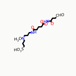 CN(CCCNC(=O)CCCC(=O)ONC(=O)CCC=O)CCCS(=O)(=O)O